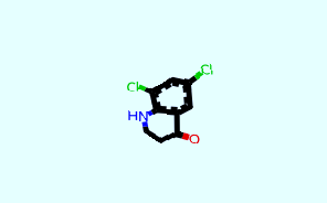 O=C1CCNc2c(Cl)cc(Cl)cc21